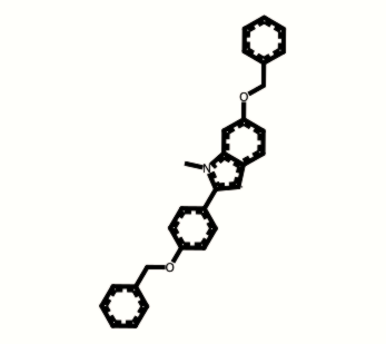 Cn1c(-c2ccc(OCc3ccccc3)cc2)[c]c2ccc(OCc3ccccc3)cc21